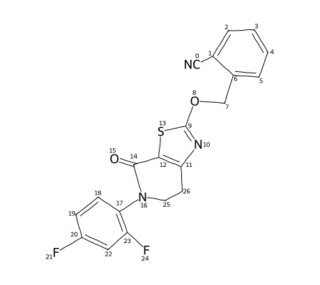 N#Cc1ccccc1COc1nc2c(s1)C(=O)N(c1ccc(F)cc1F)CC2